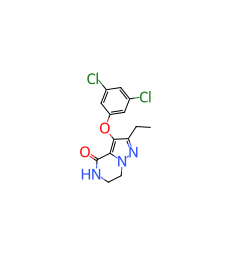 CCc1nn2c(c1Oc1cc(Cl)cc(Cl)c1)C(=O)NCC2